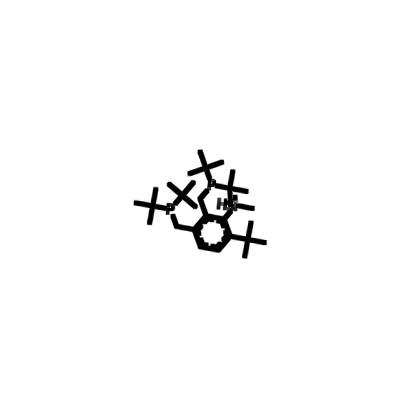 C[SiH](C)c1c(C(C)(C)C)ccc(CP(C(C)(C)C)C(C)(C)C)c1CP(C(C)(C)C)C(C)(C)C